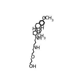 COc1ccc2c(c1)CC[C@@H]1[C@@H]2CC[C@]2(C)C(NCCCNCCCOCCCO)CC[C@@H]12